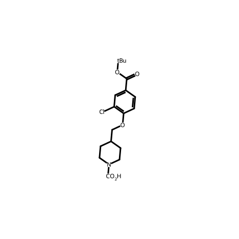 CC(C)(C)OC(=O)c1ccc(OCC2CCN(C(=O)O)CC2)c(Cl)c1